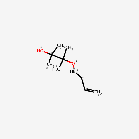 C=CCBOC(C)(C)C(C)(C)O